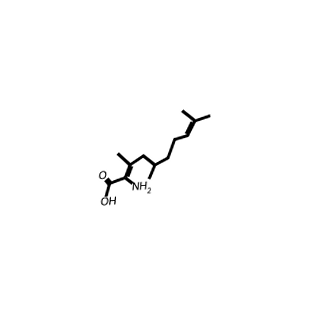 CC(C)=CCCC(C)CC(C)=C(N)C(=O)O